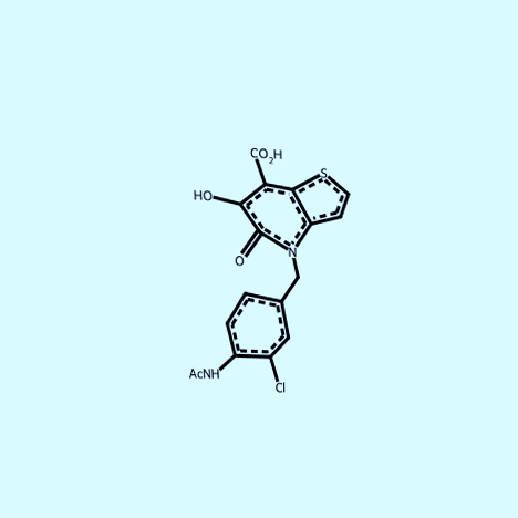 CC(=O)Nc1ccc(Cn2c(=O)c(O)c(C(=O)O)c3sccc32)cc1Cl